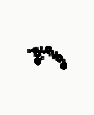 O=S(=O)(NCc1cccc(CNc2cc(-c3ccccc3Cl)nc3c(Br)cnn23)c1)c1ccc(Oc2ccccc2)cc1